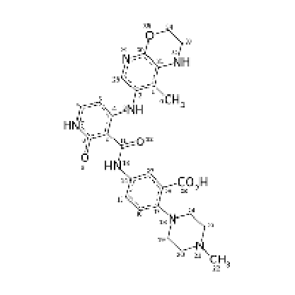 Cc1c(Nc2cc[nH]c(=O)c2C(=O)Nc2ccc(N3CCN(C)CC3)c(C(=O)O)c2)cnc2c1NCCO2